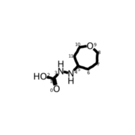 O=C(O)NNC1CCCOCC1